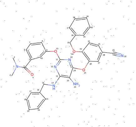 CN(C)C(=O)c1cccc(Oc2nc(NCc3ccccc3)c(N)c(Oc3cc(C#N)ccc3OCc3ccccc3)n2)c1